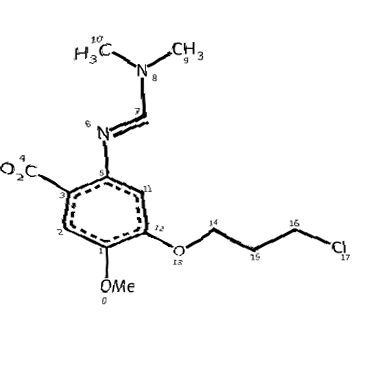 COc1cc(C(=O)O)c(N=CN(C)C)cc1OCCCCl